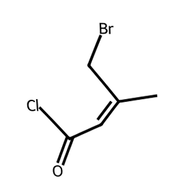 C/C(=C/C(=O)Cl)CBr